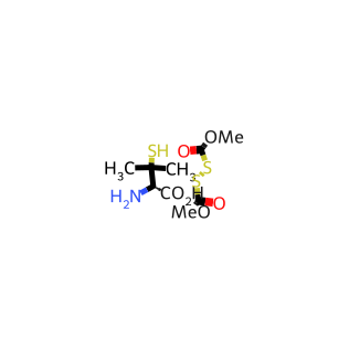 CC(C)(S)[C@@H](N)C(=O)O.COC(=O)SSC(=O)OC